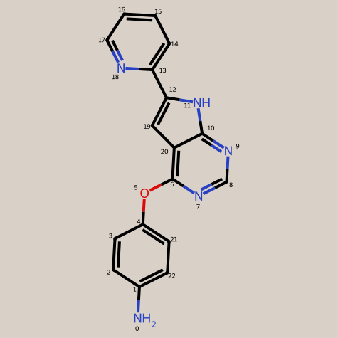 Nc1ccc(Oc2ncnc3[nH]c(-c4ccccn4)cc23)cc1